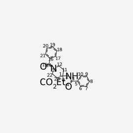 CCOC(=O)C1(NC(=O)c2ccccc2)CCN(C(=O)c2ccccc2)CC1